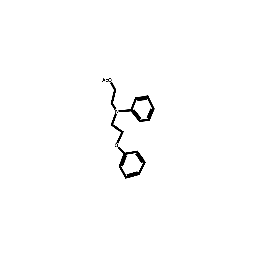 CC(=O)OCCN(CCOc1ccccc1)c1ccccc1